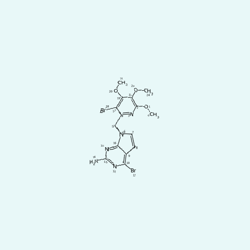 COc1nc(Cn2ccc3c(Br)nc(N)nc32)c(Br)c(OC)c1OC